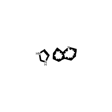 C1=CNCN1.c1ccc2ncccc2c1